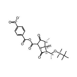 C[C@@H](O[Si](C)(C)C(C)(C)C)[C@H]1C(=O)N2C(C(=O)OC(=O)c3ccc([N+](=O)[O-])cc3)C(=O)[C@H](C)[C@H]12